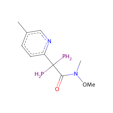 CON(C)C(=O)C(P)(P)c1ccc(C)cn1